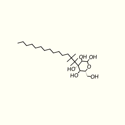 CCCCCCCCCCCCC(C)(C)C(C)(C)[C@]1(O)[C@H](O)[C@@H](CO)OC(O)[C@@H]1O